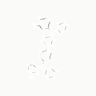 CCc1cccc(N(c2ccccc2)c2ccc(-c3ccc(N(c4ccccc4)c4cccc(CC)c4)cc3)cc2)c1